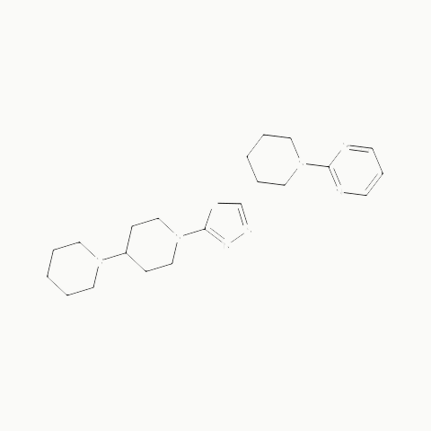 c1cnc(N2CCC[C@@H](c3nnc(N4CCC(N5CCCCC5)CC4)s3)C2)nc1